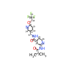 CC(C)C(=O)Nc1cc(C(=O)NCc2ccc(OCC(F)(F)F)nc2)ccn1